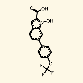 O=C(O)c1cc2ccc(-c3ccc(OC(F)(F)F)cc3)cc2n1O